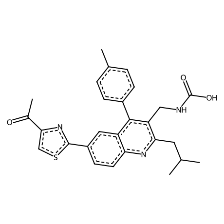 CC(=O)c1csc(-c2ccc3nc(CC(C)C)c(CNC(=O)O)c(-c4ccc(C)cc4)c3c2)n1